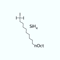 CCCCCCCCCCCCCCCCCC(I)(I)I.[SiH4]